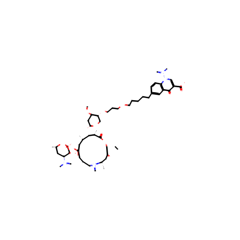 CC[C@H]1OC(=O)[C@H](C)[C@@H](O[C@H]2C[C@@](C)(OC)[C@@H](OCCCOCCCCCc3ccc4c(c3)c(=O)c(C(=O)O)cn4N(C)C)[C@H](C)O2)[C@H](C)[C@@H](O[C@@H]2O[C@H](C)C[C@H](N(C)C)[C@H]2O)[C@](C)(O)C[C@@H](C)CN(C)[C@H](C)[C@@H](O)[C@]1(C)O